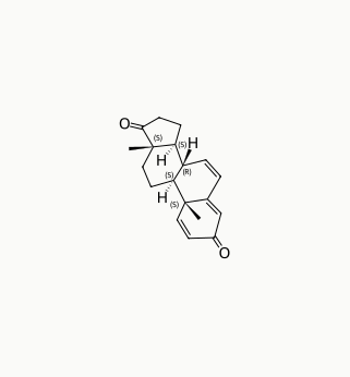 C[C@]12C=CC(=O)C=C1C=C[C@@H]1[C@@H]2CC[C@]2(C)C(=O)CC[C@@H]12